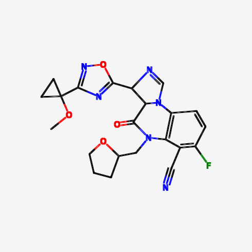 COC1(c2noc(C3N=CN4c5ccc(F)c(C#N)c5N(CC5CCCO5)C(=O)C34)n2)CC1